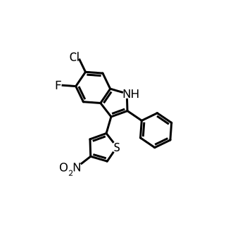 O=[N+]([O-])c1csc(-c2c(-c3ccccc3)[nH]c3cc(Cl)c(F)cc23)c1